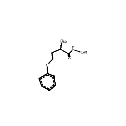 COC(CCOc1ccccc1)C(=O)NC=O